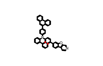 c1ccc(-c2ccccc2N(c2ccc(-c3ccc4c(c3)oc3cnccc34)cc2)c2ccc(-c3cc4ccccc4c4ccccc34)cc2)cc1